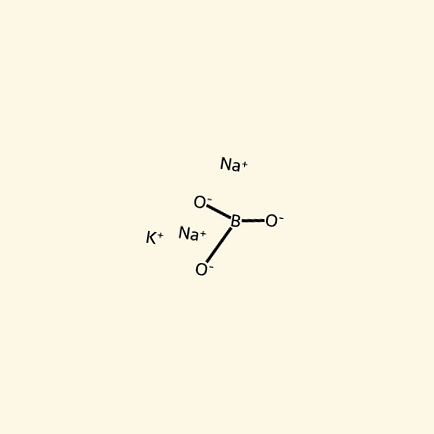 [K+].[Na+].[Na+].[O-]B([O-])[O-]